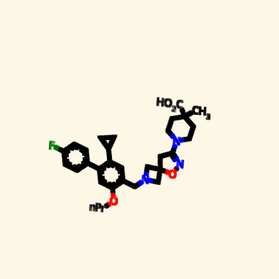 CCCOc1cc(-c2ccc(F)cc2)c(C2CC2)cc1CN1CC2(CC(N3CCC(C)(C(=O)O)CC3)=NO2)C1